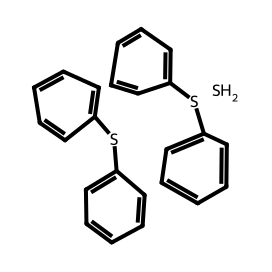 S.c1ccc(Sc2ccccc2)cc1.c1ccc(Sc2ccccc2)cc1